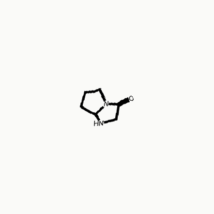 O=C1CNC2CCCN12